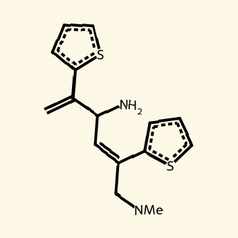 C=C(c1cccs1)C(N)C=C(CNC)c1cccs1